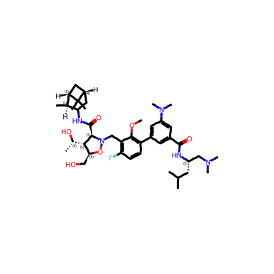 COc1c(-c2cc(C(=O)N[C@@H](CC(C)C)CN(C)C)cc(N(C)C)c2)ccc(F)c1CN1O[C@@H](CO)[C@H]([C@H](C)O)[C@H]1C(=O)NC1C[C@H]2C[C@@H]([C@@H]1C)C2(C)C